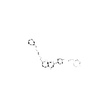 c1ccc(CCCCNNc2ccc3ncc(-c4ccc(OCCN5CCOCC5)cc4)nc3n2)cc1